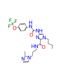 CCCCn1cc(NC(=O)Nc2ccc(OC(F)(F)F)cc2)nc1C(=O)NCCCn1ccnc1C